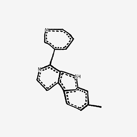 Cc1ccc2c(c1)[nH]c1c(-c3cccnc3)nccc12